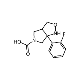 O=C(O)N1CC2CONC2(c2ccccc2F)C1